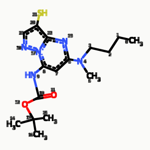 CCCCN(C)c1cc(NC(=O)OC(C)(C)C)n2ncc(S)c2n1